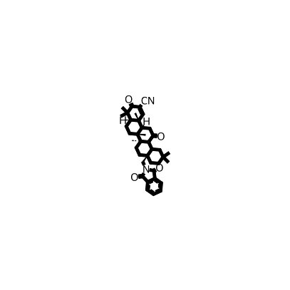 CC1(C)CC[C@]2(CN3C(=O)c4ccccc4C3=O)CC[C@]3(C)C(C(=O)C[C@@H]4[C@@]5(C)C=C(C#N)C(=O)C(C)(C)[C@@H]5CC[C@]43C)C2C1